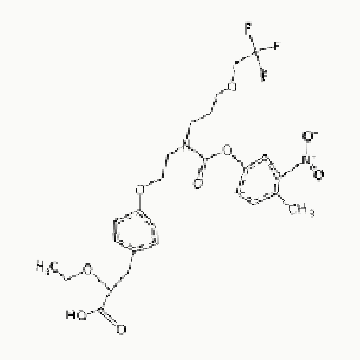 CCOC(Cc1ccc(OCCN(CCCOCC(F)(F)F)C(=O)Oc2ccc(C)c([N+](=O)[O-])c2)cc1)C(=O)O